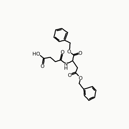 O=C(O)CCC(=O)NC(CC(=O)OCc1ccccc1)C(=O)OCc1ccccc1